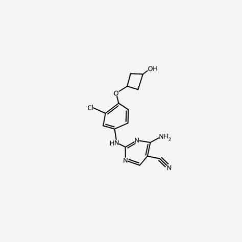 N#Cc1cnc(Nc2ccc(OC3CC(O)C3)c(Cl)c2)nc1N